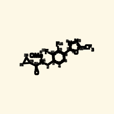 CON(Cc1ccc(-c2nnc(C(F)(F)F)o2)c(F)c1F)C(=O)C1CC1